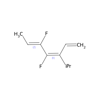 C=C/C(=C(F)\C(F)=C\C)C(C)C